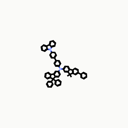 CC1(C)c2cc(-c3ccccc3)ccc2-c2ccc(N(c3ccc(C4=CCC(n5c6ccccc6c6ccccc65)C=C4)cc3)c3ccc4c(c3)-c3ccccc3C4(c3ccccc3)c3ccccc3)cc21